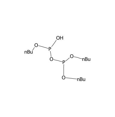 CCCCOP(O)OP(OCCCC)OCCCC